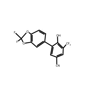 N#Cc1cc(-c2ccc3c(c2)OC(F)(F)O3)c(O)c(C(F)(F)F)c1